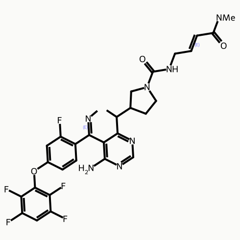 C/N=C(/c1ccc(Oc2c(F)c(F)cc(F)c2F)cc1F)c1c(N)ncnc1C(C)C1CCN(C(=O)NC/C=C/C(=O)NC)C1